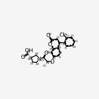 C[C@@H](Oc1ccc2c(-c3ccccc3Cl)cc(=O)oc2c1)C(=O)N1CC[C@H](C(=O)O)C1